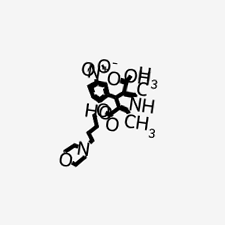 CC1=C(C(=O)O)C(c2cc([N+](=O)[O-])ccc2OCCCCN2CCOCC2)C(C(=O)O)=C(C)N1